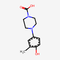 Cc1cc(N2CCN(C(=O)O)CC2)ccc1O